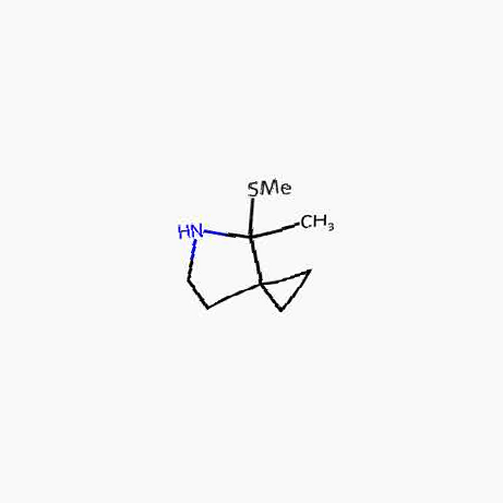 CSC1(C)NCCC12CC2